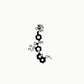 Cc1cccc2ccc(N3CC[C@H](C(=O)NC4CCC(CNS(N)(=O)=O)CC4)C(C)(C)C3)nc12